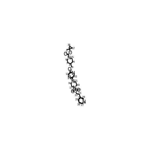 CC1(OC(=O)N2CCC(COc3cnc(N4CCN(S(=O)(=O)CCc5cccnc5)CC4)cn3)CC2)CC1